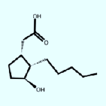 CCCCC[C@H]1[C@@H](CC(=O)O)CC[C@@H]1O